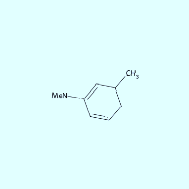 CNC1=CC(C)CC=C1